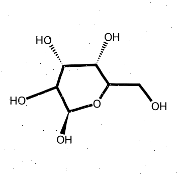 OCC1O[C@@H](O)C(O)[C@H](O)[C@@H]1O